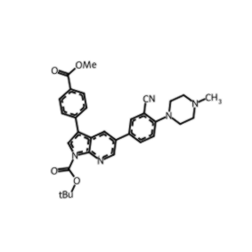 COC(=O)c1ccc(-c2cn(C(=O)OC(C)(C)C)c3ncc(-c4ccc(N5CCN(C)CC5)c(C#N)c4)cc23)cc1